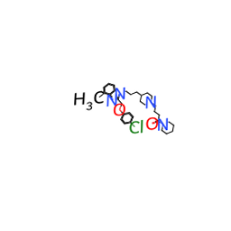 Cc1cccc2c1nc(COc1ccc(Cl)cc1)n2CCCC1CCN(CCCC(=O)N2CCCCC2)CC1